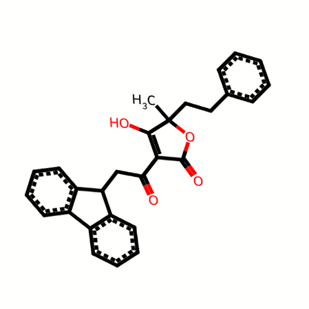 CC1(CCc2ccccc2)OC(=O)C(C(=O)CC2c3ccccc3-c3ccccc32)=C1O